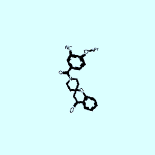 CC(C)Oc1ccc(C(=O)N2CCC3(CC2)CC(=O)c2ccccc2O3)cc1C#N